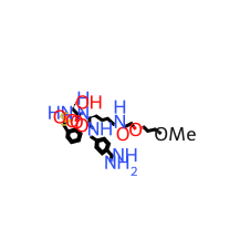 COCCCOCC(=O)NCCCC[C@H](NC(=O)[C@@H](CO)NS(=O)(=O)Cc1ccccc1)C(=O)NCc1ccc(C(=N)N)cc1